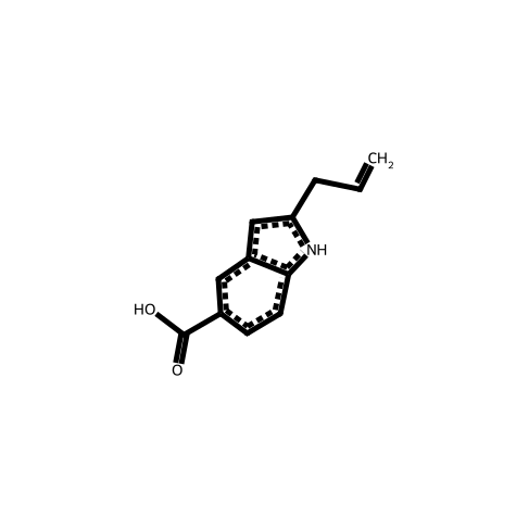 C=CCc1cc2cc(C(=O)O)ccc2[nH]1